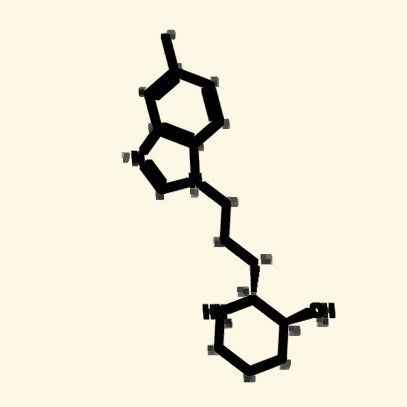 Cc1ccc2c(c1)ncn2CCC[C@H]1NCCC[C@@H]1O